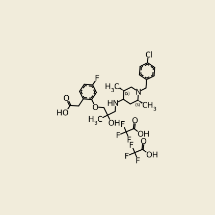 C[C@H]1CN(Cc2ccc(Cl)cc2)[C@@H](C)CC1NCC(C)(O)COc1cc(F)ccc1CC(=O)O.O=C(O)C(F)(F)F.O=C(O)C(F)(F)F